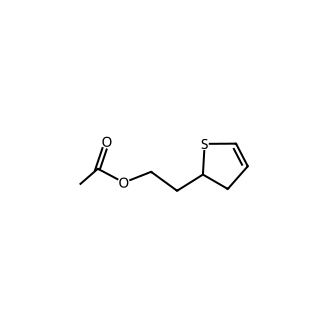 CC(=O)OCCC1CC=CS1